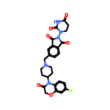 O=C1CCN(N2C(=O)c3ccc(CN4CCC(N5C(=O)COc6cc(F)ccc65)CC4)cc3C2=O)C(=O)N1